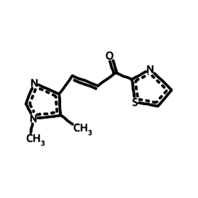 Cc1c(C=CC(=O)c2nccs2)ncn1C